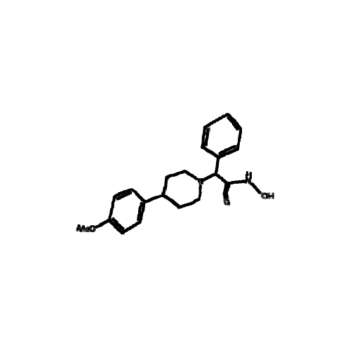 COc1ccc(C2CCN(C(C(=O)NO)c3ccccc3)CC2)cc1